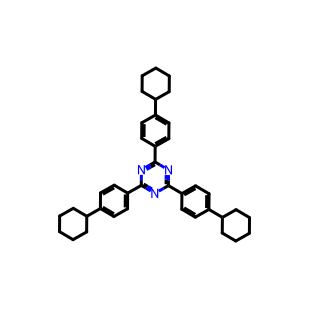 c1cc(C2CCCCC2)ccc1-c1nc(-c2ccc(C3CCCCC3)cc2)nc(-c2ccc(C3CCCCC3)cc2)n1